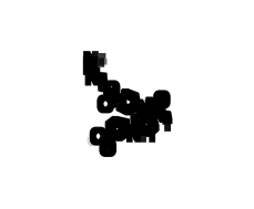 COC(=O)c1cccc(Nc2ccc3c(n2)N(C2CCN(C(=O)OCCN=[N+]=[N-])CC2)CC(=O)N3CI)c1